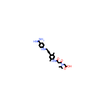 Cc1cc(NC(=O)CC(=O)N(CC(=O)O)C(C)C)c(C)cc1C#CCNc1ccc(C(=N)N)cc1